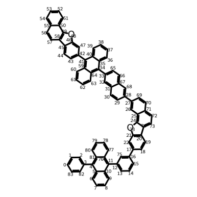 c1ccc(-c2c3ccccc3c(-c3cccc(-c4ccc5c(c4)oc4c6cc(-c7ccc8cc(-c9c%10ccccc%10c(-c%10ccc%11c(c%10)oc%10c%12ccccc%12ccc%11%10)c%10ccccc9%10)ccc8c7)ccc6ccc54)c3)c3ccccc23)cc1